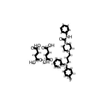 O=C(Nc1ccccc1)N1CCN(CCCN(c2ccc(F)cc2)c2ccccn2)CC1.O=C(O)/C=C/C(=O)O.O=C(O)/C=C/C(=O)O